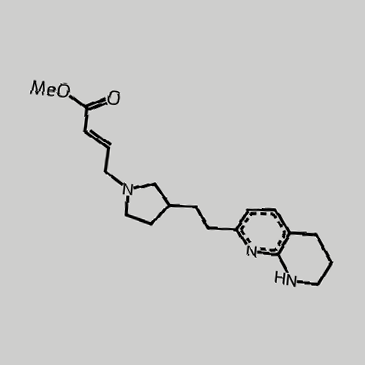 COC(=O)C=CCN1CCC(CCc2ccc3c(n2)NCCC3)C1